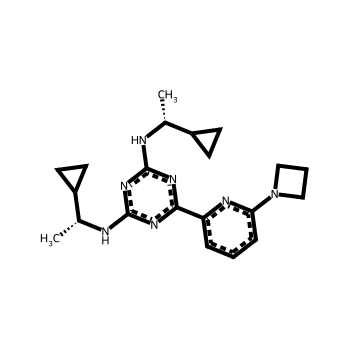 C[C@@H](Nc1nc(N[C@H](C)C2CC2)nc(-c2cccc(N3CCC3)n2)n1)C1CC1